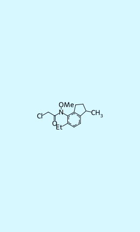 CCc1ccc2c(c1N(OC)C(=O)CCl)CCC2C